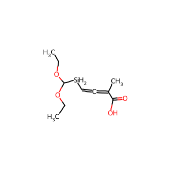 CCOC(OCC)[SiH2]C=C=C(C)C(=O)O